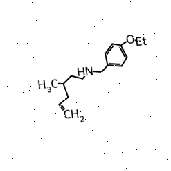 C=CCC(C)CCNCc1ccc(OCC)cc1